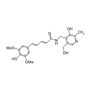 COc1cc(C=CC=CC(=O)NCc2c(CO)cnc(C)c2O)cc(OC)c1O